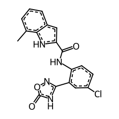 Cc1cccc2cc(C(=O)Nc3ccc(Cl)cc3-c3noc(=O)[nH]3)[nH]c12